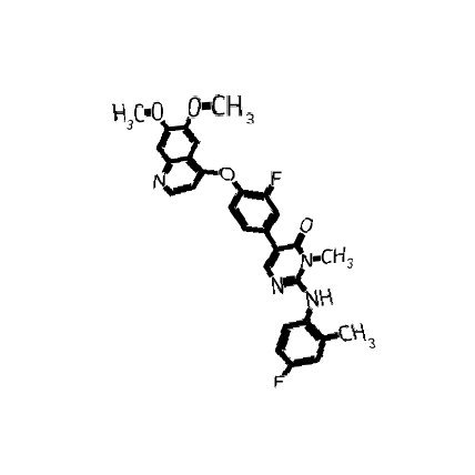 COc1cc2nccc(Oc3ccc(-c4cnc(Nc5ccc(F)cc5C)n(C)c4=O)cc3F)c2cc1OC